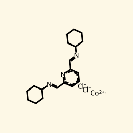 C(=NC1CCCCC1)c1cccc(C=NC2CCCCC2)n1.[Cl-].[Cl-].[Co+2]